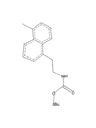 Cc1cccc2c(CCNC(=O)OC(C)(C)C)cccc12